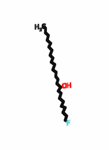 CCCCCCCCCCCCCCCCCC(O)CCCCCCCCCF